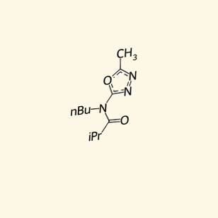 CCCCN(C(=O)C(C)C)c1nnc(C)o1